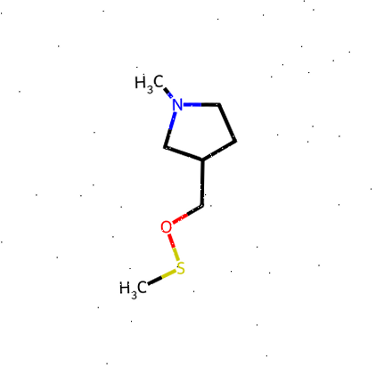 CSOCC1CCN(C)C1